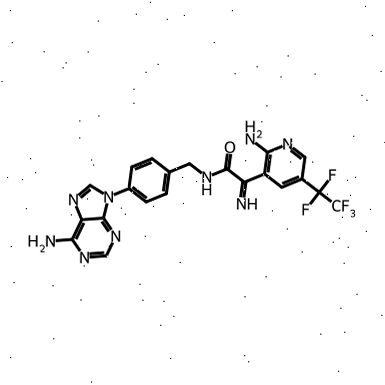 N=C(C(=O)NCc1ccc(-n2cnc3c(N)ncnc32)cc1)c1cc(C(F)(F)C(F)(F)F)cnc1N